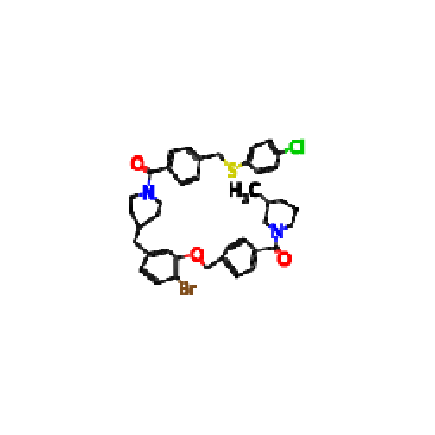 CC1CCCN(C(=O)c2ccc(COc3cc(CC4CCN(C(=O)c5ccc(CSc6ccc(Cl)cc6)cc5)CC4)ccc3Br)cc2)C1